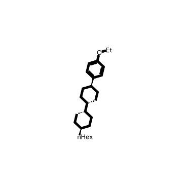 CCCCCC[C@H]1CC[C@H]([C@H]2CC[C@H](c3ccc(OCC)cc3)CC2)CC1